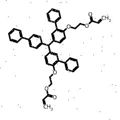 C=CC(=O)OCCOc1ccc(C(c2ccc(-c3ccccc3)cc2)c2ccc(OCCOC(=O)C=C)c(-c3ccccc3)c2)cc1-c1ccccc1